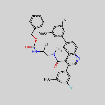 CCC(CN(C)C(=O)c1c(-c2cc(C)cc(F)c2)cnc2ccc(-c3cc(C#N)cc(OC)c3)cc12)NC(=O)OCc1ccccc1